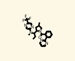 CCC(C1CC(C)CN1C(=O)c1ccccc1-c1ncccn1)N(C)c1cnc(C(F)(F)F)cn1